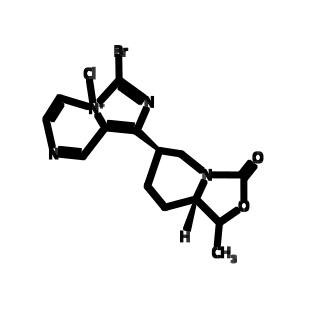 CC1OC(=O)N2C[C@H](C3=C4C=NC=C[N+]4(Cl)C(Br)=N3)CC[C@@H]12